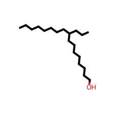 CCCCCCCCC(CCC)CCCCCCCCO